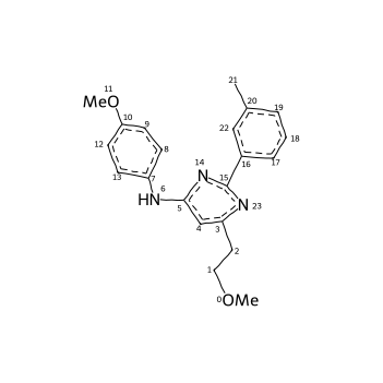 COCCc1cc(Nc2ccc(OC)cc2)nc(-c2cccc(C)c2)n1